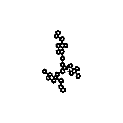 c1ccc(-c2ccc(-c3c4ccccc4c(-c4cccc(-c5ccc6ccccc6c5)c4)c4cc(-c5ccc6c(c5)c5ccc(-c7ccc(-c8ccc(-c9c%10ccccc%10c(-c%10cccc(-c%11cccc%12ccccc%11%12)c%10)c%10ccccc9%10)c9ccccc89)cc7)cc5c5c7cccc(-c8c9ccccc9c(-c9ccccc9)c9ccccc89)c7oc65)ccc34)c3ccccc23)cc1